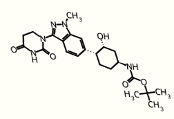 Cn1nc(N2CCC(=O)NC2=O)c2ccc([C@H]3CC[C@H](NC(=O)OC(C)(C)C)C[C@H]3O)cc21